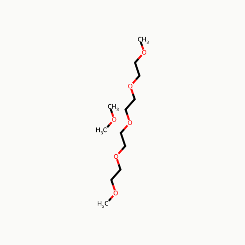 COC.COCCOCCOCCOCCOC